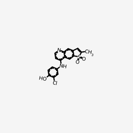 CC1=Cc2cc3nccc(Nc4ccc(O)c(Cl)c4)c3cc2S1(=O)=O